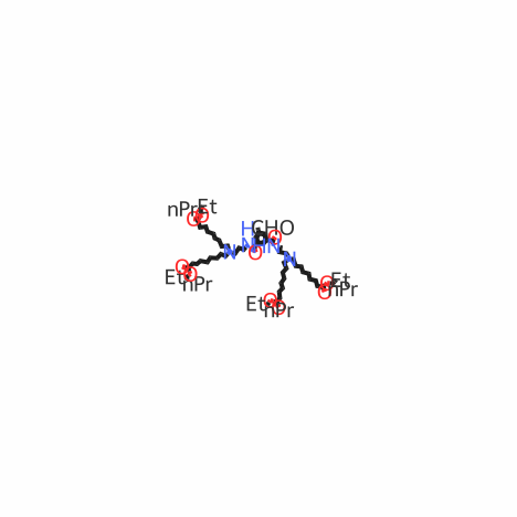 CCCC(CC)OC(=O)CCCCCCCCN(CCCCCCCCC(=O)OC(CC)CCC)CCCNC(=O)c1cc(C=O)cc(C(=O)NCCCN(CCCCCCCCC(=O)OC(CC)CCC)CCCCCCCCC(=O)OC(CC)CCC)c1